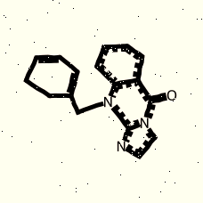 O=c1c2ccccc2n(CC2=CC=CCC2)c2nccn12